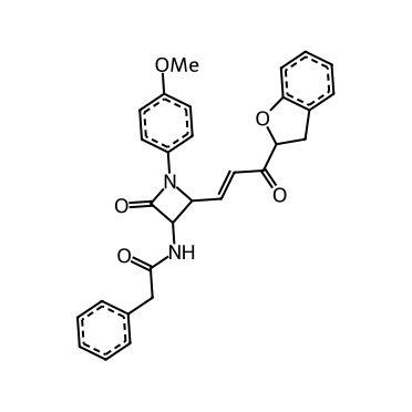 COc1ccc(N2C(=O)C(NC(=O)Cc3ccccc3)C2C=CC(=O)C2Cc3ccccc3O2)cc1